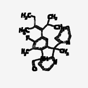 CC/C(C)=C(/c1cc(C(C)(c2ccccn2)c2ccccn2)c(NC=O)c(C)c1F)C(C)C